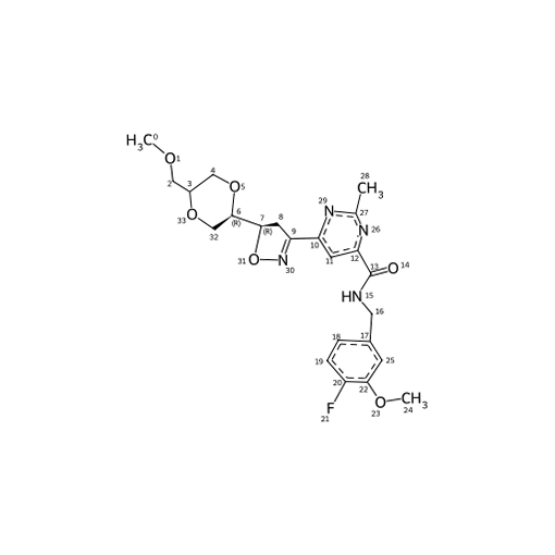 COCC1CO[C@@H]([C@H]2CC(c3cc(C(=O)NCc4ccc(F)c(OC)c4)nc(C)n3)=NO2)CO1